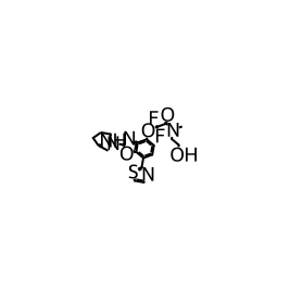 CN(CCO)C(=O)C(F)(F)Oc1ccc(-c2nccs2)c2oc(N3CC4CC(C3)N4)nc12